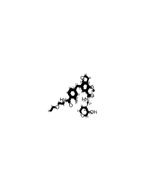 CCOCCNC(=O)c1ccc(Cc2cc(C(=O)NC[C@H]3CCOC[C@@H]3O)c(OC)c3c2OCC3)cc1F